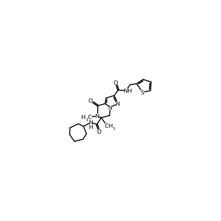 CN1C(=O)c2cc(C(=O)NCc3cccs3)nn2CC1(C)C(=O)NC1CCCCCC1